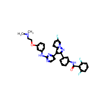 CN(C)CCOc1cccc(Nc2nccc(-c3c(-c4cccc(NC(=O)c5c(F)cccc5F)c4)nn4cc(F)ccc34)n2)c1